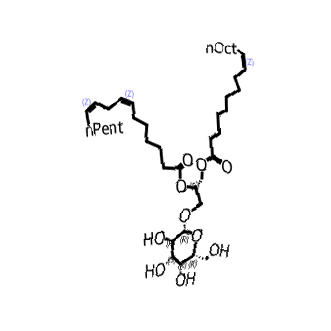 CCCCC/C=C\C/C=C\CCCCCC(=O)O[C@H](COC(=O)CCCCCCC/C=C\CCCCCCCC)CO[C@@H]1O[C@H](CO)[C@H](O)[C@H](O)[C@H]1O